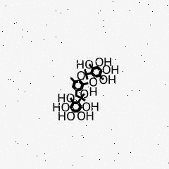 Cc1cc2c(c(C)c1OC(C)(C)c1c(O)c(O)c(O)c(O)c1O)OC(C)(c1c(O)c(O)c(O)c(O)c1O)C2